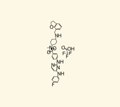 CN(C1CCC(NCc2cccc3c2OCC3)CC1)S(=O)(=O)c1ccc(Nc2nccc(Nc3ccc(F)cc3)n2)cc1.O=C(O)C(F)(F)F